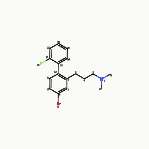 CN(C)CCCc1cc(Br)ccc1-c1ccccc1F